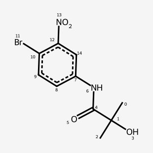 CC(C)(O)C(=O)Nc1ccc(Br)c([N+](=O)[O-])c1